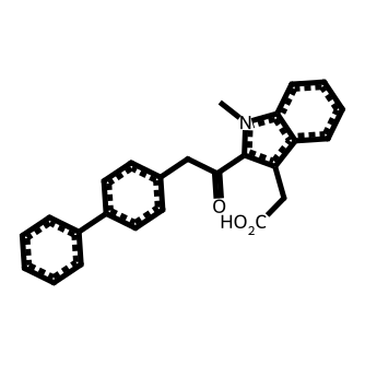 Cn1c(C(=O)Cc2ccc(-c3ccccc3)cc2)c(CC(=O)O)c2ccccc21